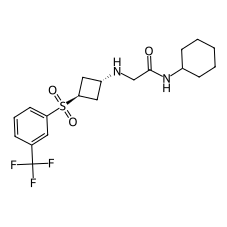 O=C(CN[C@H]1C[C@H](S(=O)(=O)c2cccc(C(F)(F)F)c2)C1)NC1CCCCC1